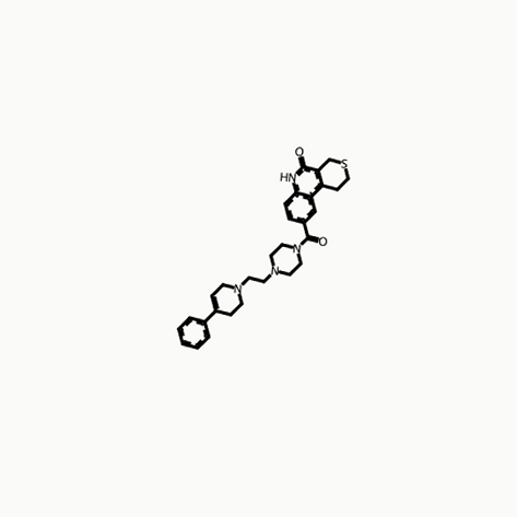 O=C(c1ccc2[nH]c(=O)c3c(c2c1)CCSC3)N1CCN(CCN2CC=C(c3ccccc3)CC2)CC1